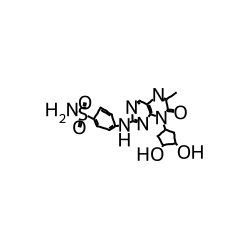 Cc1nc2cnc(Nc3ccc(S(N)(=O)=O)cc3)nc2n(C2CC(O)C(O)C2)c1=O